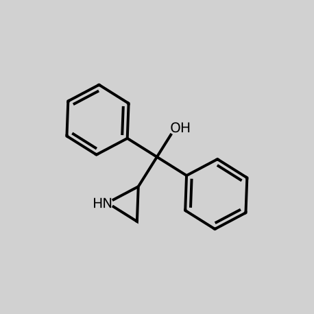 OC(c1ccccc1)(c1ccccc1)C1CN1